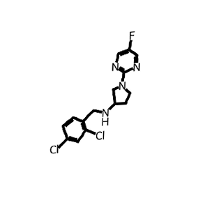 Fc1cnc(N2CCC(NCc3ccc(Cl)cc3Cl)C2)nc1